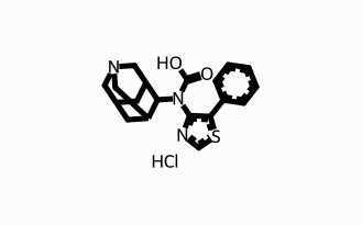 Cl.O=C(O)N(c1ncsc1-c1ccccc1)C1C2CC3CC1CN(C3)C2